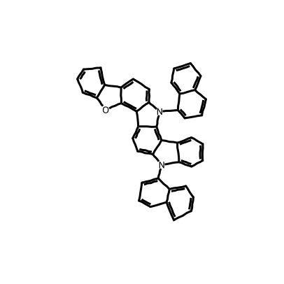 c1ccc2c(-n3c4ccccc4c4c3ccc3c5c6oc7ccccc7c6ccc5n(-c5cccc6ccccc56)c34)cccc2c1